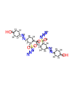 [N-]=[N+]=NS(=O)(=O)c1cc(N=Nc2ccc(O)cc2)ccc1C=Cc1ccc(N=Nc2ccc(O)cc2)cc1S(=O)(=O)N=[N+]=[N-]